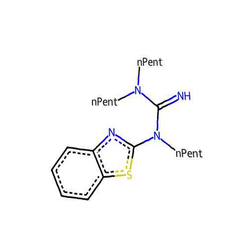 CCCCCN(CCCCC)C(=N)N(CCCCC)c1nc2ccccc2s1